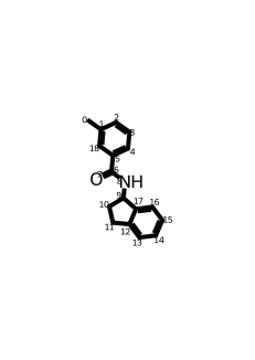 Cc1cccc(C(=O)NC2CCc3ccccc32)c1